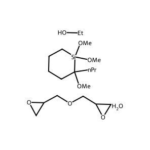 C(OCC1CO1)C1CO1.CCCC1(OC)CCCC[Si]1(OC)OC.CCO.O